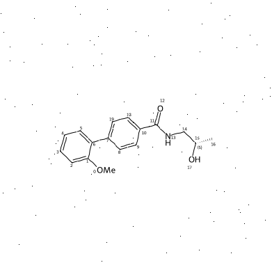 COc1ccccc1-c1ccc(C(=O)NC[C@H](C)O)cc1